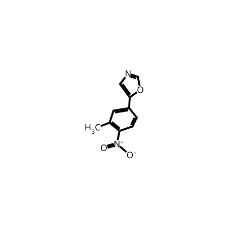 Cc1cc(-c2cnco2)ccc1[N+](=O)[O-]